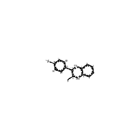 Cc1nc2ccccc2nc1-c1ccc(F)cc1